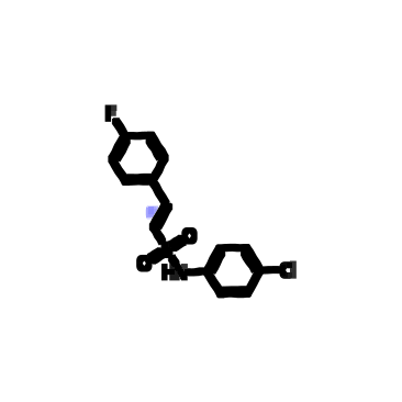 O=S(=O)(/C=C/c1ccc(F)cc1)Nc1ccc(Cl)cc1